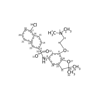 CN(C)CCOc1cc(NS(=O)(=O)c2ccc3c(Cl)cccc3c2)cc2c1OC(C)(C)C2